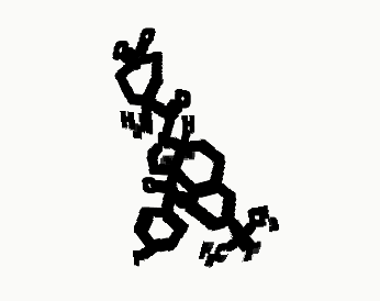 NC1(C(=O)N2CC[C@@]3(S(=O)(=O)c4ccc(F)cc4)c4ccc(C(F)(C(F)(F)F)C(F)(F)F)cc4CC[C@@H]23)CCS(=O)(=O)CC1